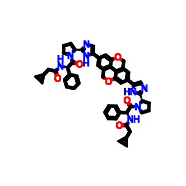 O=C(CC1CC1)N[C@@H](C(=O)N1CCC[C@H]1c1ncc(-c2cc3c4c(c2)OCc2cc(-c5cnc([C@@H]6CCCN6C(=O)[C@H](NC(=O)CC6CC6)c6ccccc6)[nH]5)cc(c2-4)OC3)[nH]1)C1=CCCC=C1